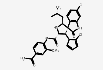 COc1cc(C(N)=O)ccc1NC(=O)[C@@H]1N[C@@H](C[C@H](C)C(F)(F)F)[C@@]2(C(=O)Nc3cc(Cl)ccc32)C1C1C=CC=C1Cl